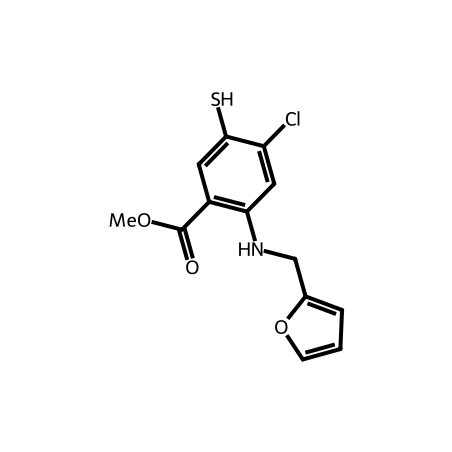 COC(=O)c1cc(S)c(Cl)cc1NCc1ccco1